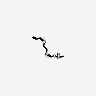 C=C/C=N\CC/N=C\ONC